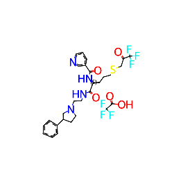 O=C(N[C@@H](CCCSCC(=O)C(F)(F)F)C(=O)NCCN1CCC(c2ccccc2)C1)c1cccnc1.O=C(O)C(F)(F)F